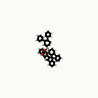 c1ccc(-c2ccc(N(c3ccccc3)c3ccc4c(c3)C3(c5ccccc5-4)c4ccccc4-c4sc5ccccc5c43)cc2-c2ccccc2)cc1